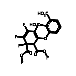 O=C(O)c1cccc(OC2=C(F)C(F)=C(F)C(F)(C(=O)OF)C2C(=O)OF)c1C(=O)O